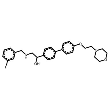 OC(CNCc1cccc(F)c1)c1ccc(-c2ccc(OCCN3CCOCC3)cc2)cc1